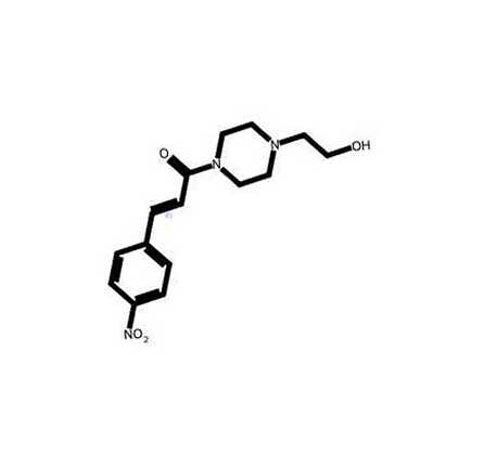 O=C(/C=C/c1ccc([N+](=O)[O-])cc1)N1CCN(CCO)CC1